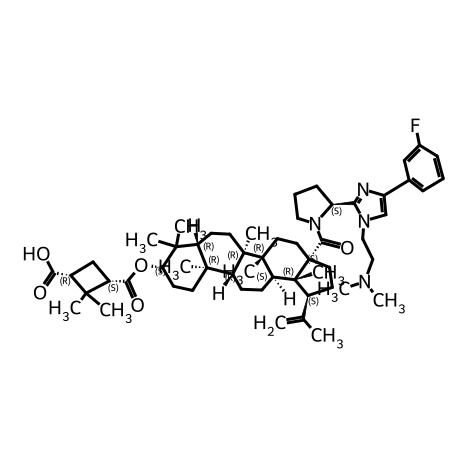 C=C(C)[C@@H]1CC[C@]2(C(=O)N3CCC[C@H]3c3nc(-c4cccc(F)c4)cn3CCN(C)C)CC[C@]3(C)[C@H](CC[C@@H]4[C@@]5(C)CC[C@H](OC(=O)[C@H]6C[C@@H](C(=O)O)C6(C)C)C(C)(C)[C@@H]5CC[C@]43C)[C@@]12C